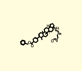 CC1C(C2=CCC(C(=O)OCc3ccccc3)CC2)=CCC2(C)C1CCC1(C)C2CCC2[C@H]3CCCC3(NCCN(C)CCN(C)C=O)CC[C@]21C